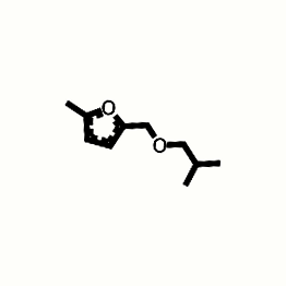 Cc1ccc(COCC(C)C)o1